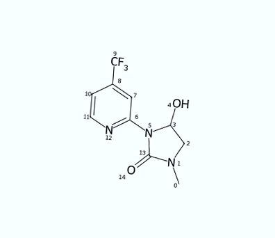 CN1CC(O)N(c2cc(C(F)(F)F)ccn2)C1=O